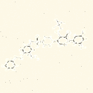 CC1(COc2c(N3CCN(S(=O)(=O)Cc4ccc(OCc5ccccc5)c([N+](=O)[O-])c4)CC3)cnn(-c3cc(F)cc(F)c3)c2=O)CC1